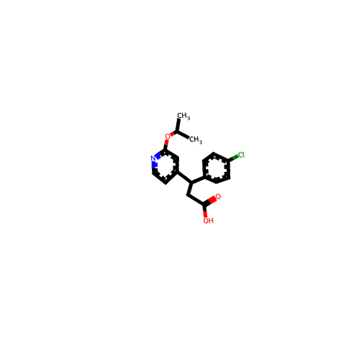 CC(C)Oc1cc(C(CC(=O)O)c2ccc(Cl)cc2)ccn1